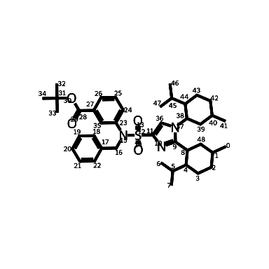 CC1CCC(C(C)C)C(c2nc(S(=O)(=O)N(Cc3ccccc3)c3cccc(C(=O)OC(C)(C)C)c3)cn2C2CC(C)CCC2C(C)C)C1